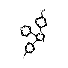 Oc1ccc(-n2cnc(-c3ccc(F)cc3)c2-c2ccncc2)cc1